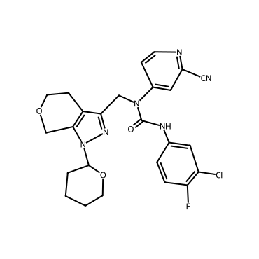 N#Cc1cc(N(Cc2nn(C3CCCCO3)c3c2CCOC3)C(=O)Nc2ccc(F)c(Cl)c2)ccn1